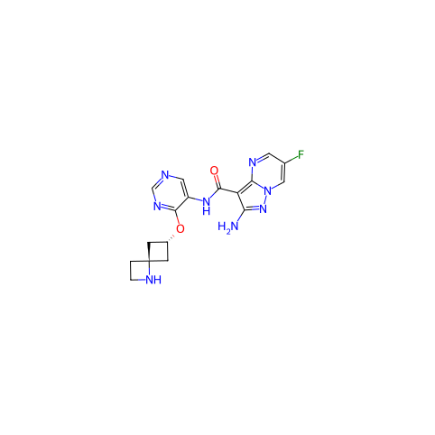 Nc1nn2cc(F)cnc2c1C(=O)Nc1cncnc1O[C@H]1C[C@@]2(CCN2)C1